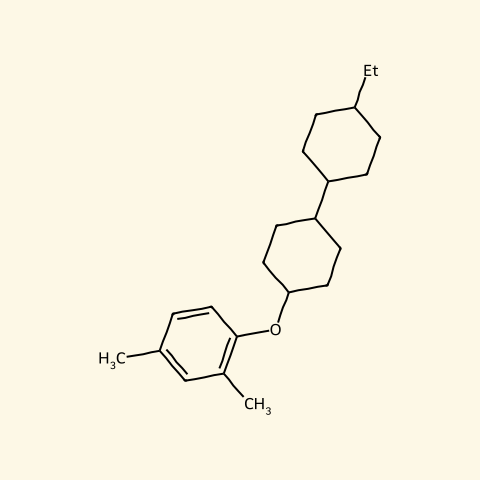 CCC1CCC(C2CCC(Oc3ccc(C)cc3C)CC2)CC1